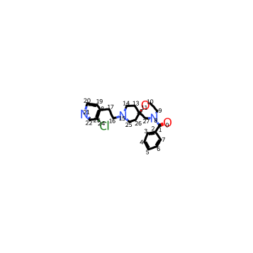 O=C(c1ccccc1)N1CCOC2(CCN(CCc3ccncc3Cl)CC2)C1